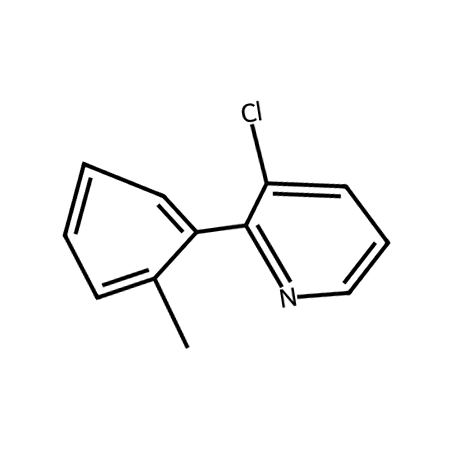 Cc1ccccc1-c1ncccc1Cl